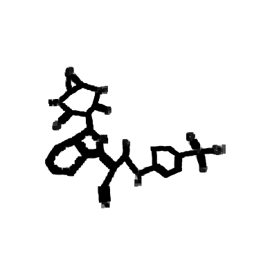 N#C/C(C(=O)NC1=CC=C(S(=O)(=O)O)CC1)=c1/[nH]c(=C2C(=O)NC3OC3NC2=O)c2ccccc12